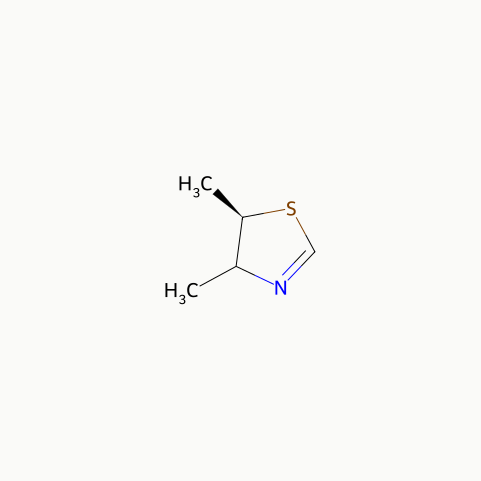 CC1N=CS[C@@H]1C